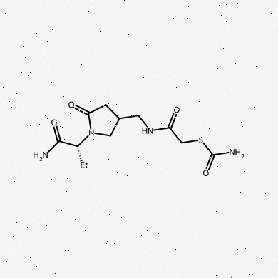 CC[C@H](C(N)=O)N1CC(CNC(=O)CSC(N)=O)CC1=O